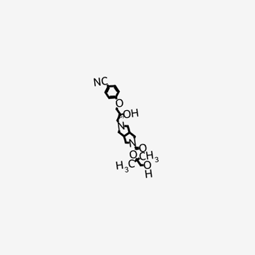 CC(C)(CO)OC(=O)N1CC2CN(C[C@H](O)COc3ccc(C#N)cc3)CC2C1